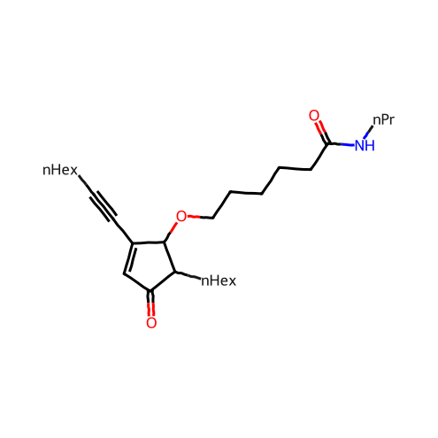 CCCCCCC#CC1=CC(=O)C(CCCCCC)C1OCCCCCC(=O)NCCC